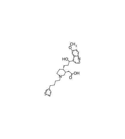 COc1ccc2nccc([C@H](O)CC[C@@H]3CCN(CCCCc4ccsc4)C[C@@H]3CC(=O)O)c2c1